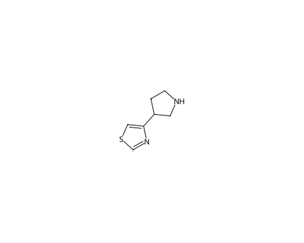 [c]1nc(C2CCNC2)cs1